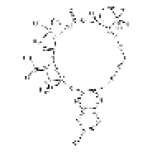 C[C@@H]1[C@@H]2CN(C(=O)[C@H](C(C)(C)C)NC(=O)O[C@@H]3CC4C[C@@H]4[C@H]3CCCCCCc3nc4ccc(Cl)cc4nc3O2)[C@@H]1C(=O)O